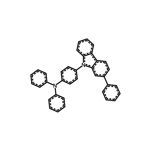 c1ccc(-c2ccc3c4ccccc4n(-c4ccc(N(c5ccccc5)c5ccccc5)cc4)c3c2)cc1